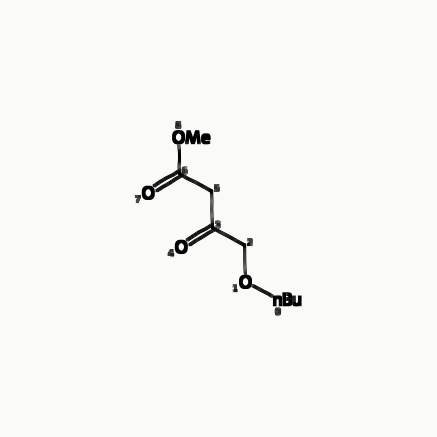 CCCCOCC(=O)CC(=O)OC